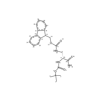 CC(C)(C)OC(=O)N[C@H](CNC(=O)OCC1c2ccccc2-c2ccccc21)C(N)=S